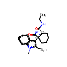 Cn1c(C(=O)O)c([C@]2(C(N)=O)CCCC[C@H]2C(=O)NCC=O)c2ccccc21